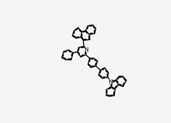 c1ccc(-c2cc(-c3ccc(-c4ccc(-n5c6ccccc6c6ccccc65)cc4)cc3)nc(-c3cc4ccccc4c4ccccc34)c2)cc1